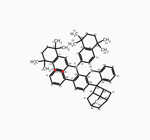 CC1(C)CCC(C)(C)c2cc(N(c3ccc4c(c3)C(C)(C)CCC4(C)C)c3c(-c4ccccc4)ccc4c3Sc3ccccc3C43C4CC5CC6CC3C64C5)ccc21